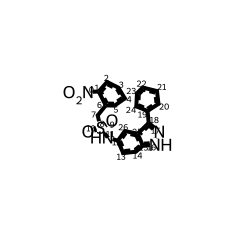 O=[N+]([O-])c1ccccc1CS(=O)(=O)Nc1ccc2[nH]nc(-c3ccccc3)c2c1